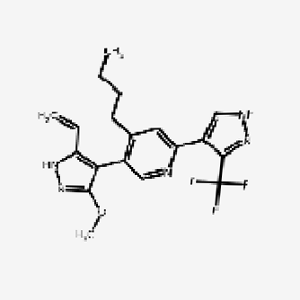 C=Cc1[nH]nc(OC)c1-c1cnc(-c2c[nH]nc2C(F)(F)F)cc1CCCC